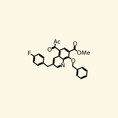 COC(=O)c1cc(C(=O)C(C)=O)c2cc(Cc3ccc(F)cc3)cnc2c1OCc1ccccc1